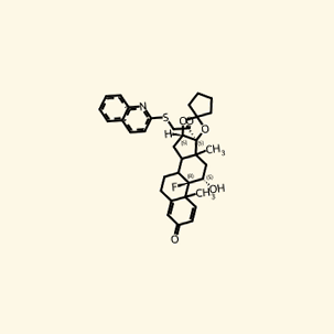 CC12C[C@H](O)[C@@]3(F)C(CCC4=CC(=O)C=CC43C)C1C[C@@H]1OC3(CCCC3)O[C@]12C(=O)CSc1ccc2ccccc2n1